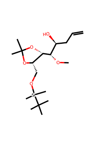 C=CC[C@H](O)[C@H](OC)[C@H]1OC(C)(C)O[C@H]1CO[Si](C)(C)C(C)(C)C